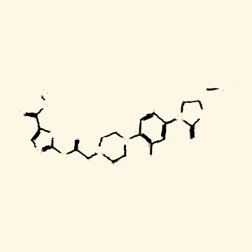 CC(=O)NC[C@H]1CN(c2ccc(N3CCN(CC(=O)Nc4ncc(C(=N)NC#N)s4)CC3)c(F)c2)C(=O)O1